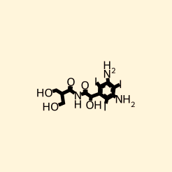 Nc1c(I)c(N)c(I)c(C(O)C(=O)NC(=O)C(CO)CO)c1I